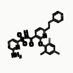 Cc1cc(C)c(Oc2nc(CCc3ccccc3)ccc2C(=O)NS(=O)(=O)c2cccc(N)n2)c(C)c1